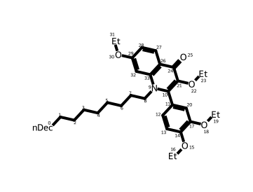 CCCCCCCCCCCCCCCCCCn1c(-c2ccc(OCC)c(OCC)c2)c(OCC)c(=O)c2ccc(OCC)cc21